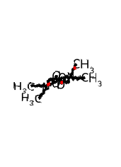 CCCCCCN(CCCCCC)c1ccc2c(c1)O/C(=C1/Oc3cc(N(CCCCCC)CCCCCC)ccc3C1=O)C2=O